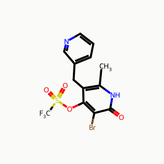 Cc1[nH]c(=O)c(Br)c(OS(=O)(=O)C(F)(F)F)c1Cc1cccnc1